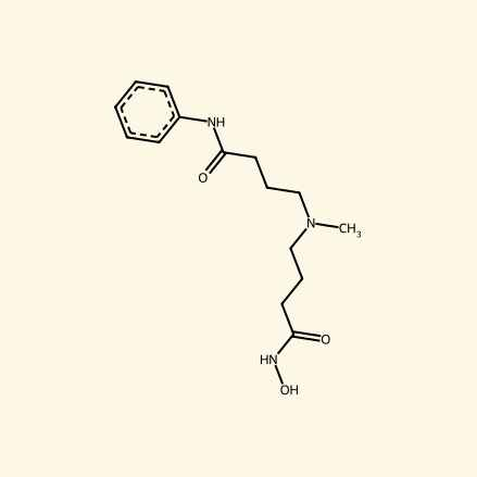 CN(CCCC(=O)NO)CCCC(=O)Nc1ccccc1